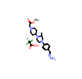 CC1CN(c2ccc(C=NN)cc2)CCN1C1CCN(CC(=O)OC(C)(C)C)CC1.O=C(O)C(F)(F)F